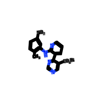 CCOC(=O)c1cncnc1-c1cccnc1Nc1cc([N+](=O)[O-])ccc1C